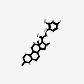 CC1CCC2C(CCC3C2CCC2(C)C3CC(C)C2C(=O)COc2ccc(F)cc2F)C1